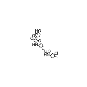 Cc1ccc(NC(=O)NCCc2cccc(NC3=CC(=O)N(C4CCC(=O)NC4=O)C3=O)c2)cc1Cl